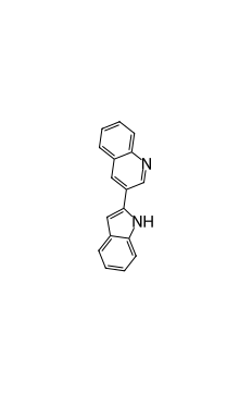 c1ccc2ncc(-c3cc4ccccc4[nH]3)cc2c1